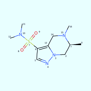 C[C@H]1Cn2ncc(S(=O)(=O)N(C)C)c2CN1C